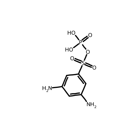 Nc1cc(N)cc(S(=O)(=O)OP(=O)(O)O)c1